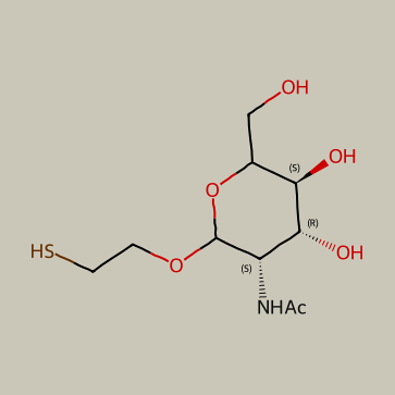 CC(=O)N[C@@H]1C(OCCS)OC(CO)[C@@H](O)[C@@H]1O